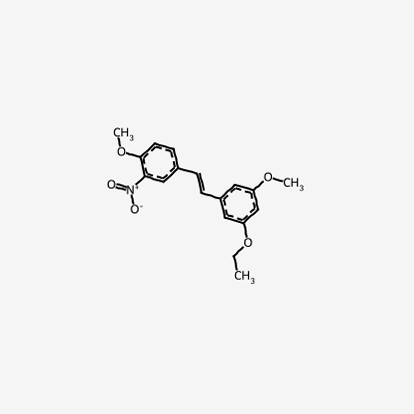 CCOc1cc(C=Cc2ccc(OC)c([N+](=O)[O-])c2)cc(OC)c1